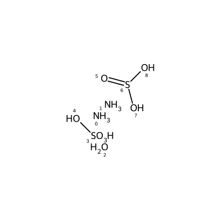 N.N.O.O=S(=O)(O)O.O=S(O)O